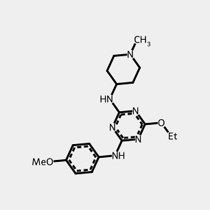 CCOc1nc(Nc2ccc(OC)cc2)nc(NC2CCN(C)CC2)n1